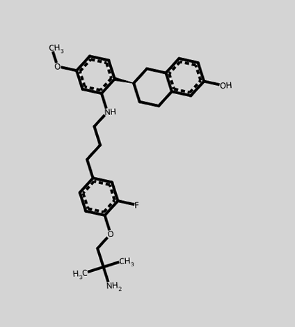 COc1ccc([C@@H]2CCc3cc(O)ccc3C2)c(NCCCc2ccc(OCC(C)(C)N)c(F)c2)c1